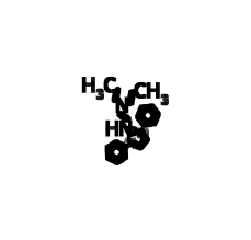 CCCN(CCC)CCNP1[C@H](c2ccccc2)CC[C@H]1c1ccccc1